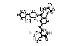 Cc1c(Cc2ccc(F)c(C(=O)N3CCN(c4ncccc4C#N)CC3)c2)n[nH]c(=O)c1C.O=C(O)C(F)(F)F